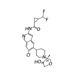 C[C@@]1(N2CCC(c3cc4cc(NC(=O)C5CC5C(F)F)ncc4cc3Cl)CC2)COC[C@@H]1O